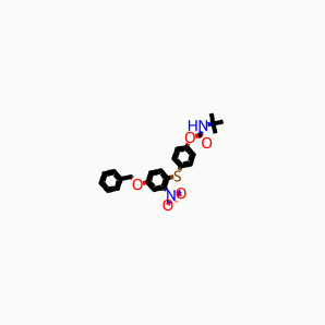 CC(C)(C)NC(=O)Oc1ccc(Sc2ccc(OCc3ccccc3)cc2[N+](=O)[O-])cc1